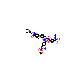 CCN(CC)CCNC(=O)c1ccc(-c2ccc(C[C@H](NC(=O)C3CCC(CNC(=O)OC(C)(C)C)CC3)C(=O)Nc3ccc4c(=O)[nH][nH]c4c3)cc2)c(C)c1